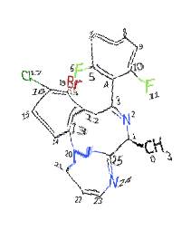 C[C@@H]1N=C(c2c(F)cccc2F)c2c(ccc(Cl)c2Br)N2CC=CN=C12